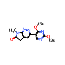 CN1C(=O)Cc2cc(-c3cnc(OC(C)(C)C)nc3OC(C)(C)C)nnc21